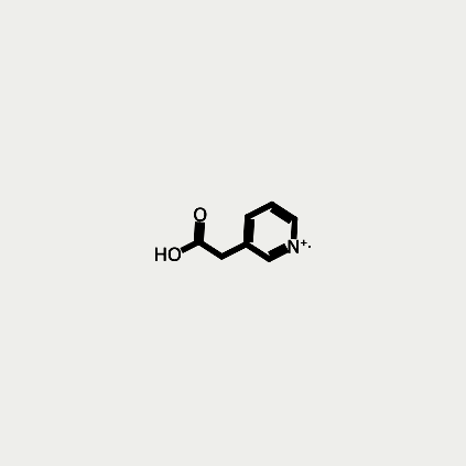 O=C(O)CC1=CC=C[N+]=C1